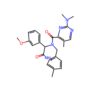 COc1cccc(C(C(N)=O)N(Cc2ccc(C)cc2)C(=O)c2nc(N(C)C)ncc2C)c1